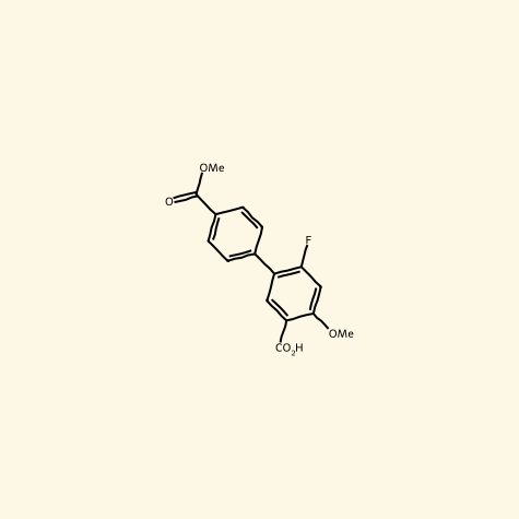 COC(=O)c1ccc(-c2cc(C(=O)O)c(OC)cc2F)cc1